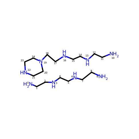 NCCNCCNCCN.NCCNCCNCCN1CCNCC1